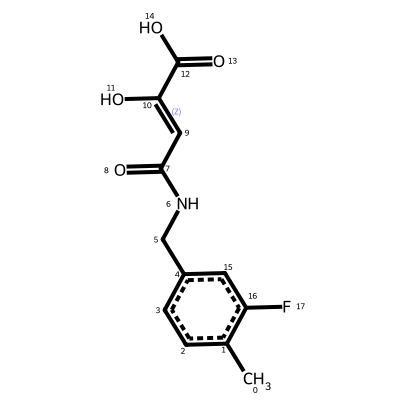 Cc1ccc(CNC(=O)/C=C(\O)C(=O)O)cc1F